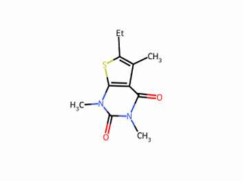 CCc1sc2c(c1C)c(=O)n(C)c(=O)n2C